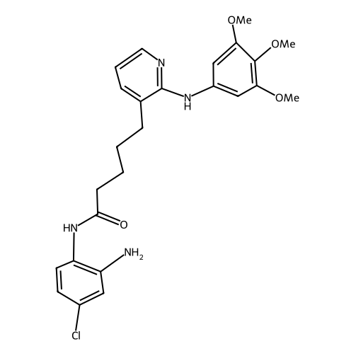 COc1cc(Nc2ncccc2CCCCC(=O)Nc2ccc(Cl)cc2N)cc(OC)c1OC